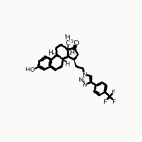 C[C@]12CC[C@@H]3c4ccc(O)cc4CC[C@H]3[C@@H]1[C@H](CCn1cc(-c3ccc(C(F)(F)F)cc3)nn1)CC2=O